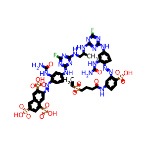 C=CS(=O)(=O)CCCC(=O)Nc1ccc(S(=O)(=O)O)c(/N=N/c2ccc(Nc3nc(F)nc(NC(C)CNc4nc(F)nc(Nc5ccc(/N=N/c6cc7c(S(=O)(=O)O)cc(S(=O)(=O)O)cc7cc6S(=O)(=O)O)c(NC(N)=O)c5)n4)n3)cc2NC(N)=O)c1